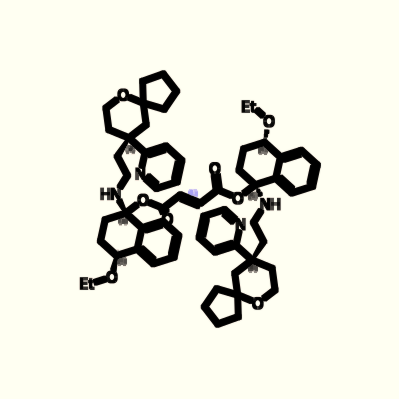 CCO[C@H]1CC[C@](NCC[C@@]2(c3ccccn3)CCOC3(CCCC3)C2)(OC(=O)/C=C/C(=O)O[C@@]2(NCC[C@@]3(c4ccccn4)CCOC4(CCCC4)C3)CC[C@H](OCC)c3ccccc32)c2ccccc21